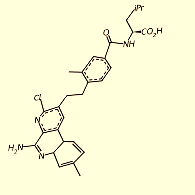 CC1=CC2N=C(N)c3nc(Cl)c(CCc4ccc(C(=O)N[C@@H](CC(C)C)C(=O)O)cc4C)cc3C2C=C1